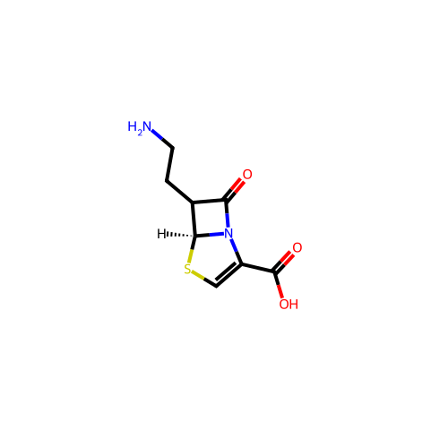 NCCC1C(=O)N2C(C(=O)O)=CS[C@@H]12